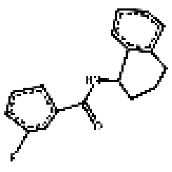 O=C(N[C@@H]1CCCc2ccccc21)c1cccc(F)c1